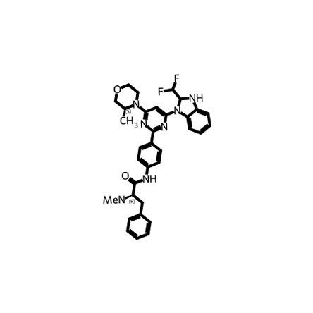 CN[C@H](Cc1ccccc1)C(=O)Nc1ccc(-c2nc(N3c4ccccc4NC3C(F)F)cc(N3CCOC[C@@H]3C)n2)cc1